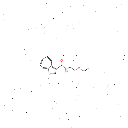 CCOCCNC(=O)c1ccc2cccccc1-2